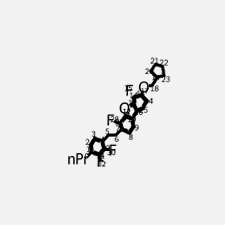 CCCc1ccc(CCc2ccc3c(oc4c(F)c(OCC5CCCC5)ccc43)c2F)c(F)c1F